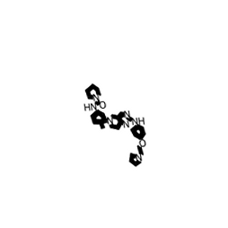 Cc1ccc(NC(=O)N2CCCCC2)cc1N1CCc2nc(Nc3ccc(OCCN4CCCC4)cc3)ncc2C1